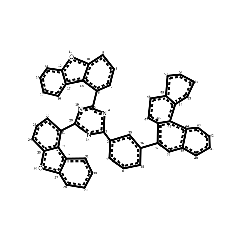 c1cc(-c2nc(-c3cccc4oc5ccccc5c34)nc(-c3cccc4oc5ccccc5c34)n2)cc(-c2cc3ccccc3c3c2ccc2ccccc23)c1